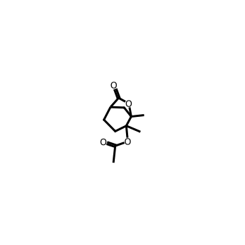 CC(=O)OC1(C)CCC2CC1(C)OC2=O